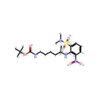 C[C@H](CCCCNC(=O)OC(C)(C)C)Nc1c([N+](=O)[O-])cccc1S(=O)(=O)N(C)C